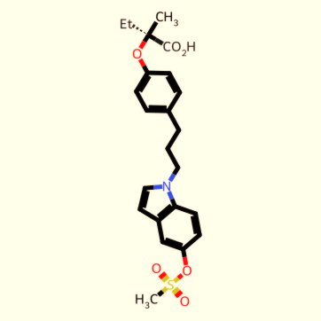 CC[C@@](C)(Oc1ccc(CCCn2ccc3cc(OS(C)(=O)=O)ccc32)cc1)C(=O)O